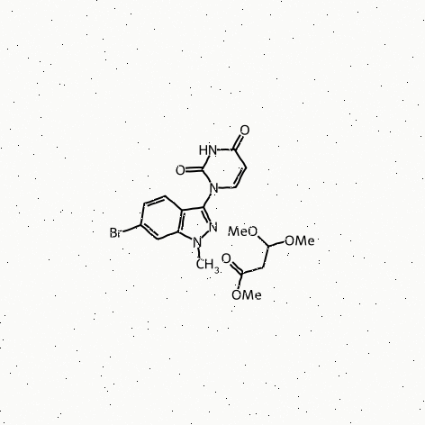 COC(=O)CC(OC)OC.Cn1nc(-n2ccc(=O)[nH]c2=O)c2ccc(Br)cc21